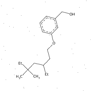 CCC(CCOc1cccc(CO)c1)CC(C)(C)CC